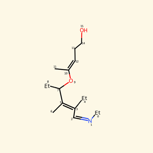 CC/N=C\C(CC)=C(/C)C(CC)O/C(C)=C/CCO